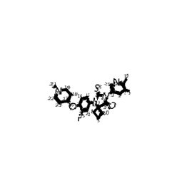 Cc1cc(N2C(=O)C3(CCC3)N(c3ccc(OC4CCN(C)CC4)c(F)c3)C2=S)cnc1C